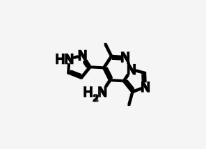 Cc1nn2cnc(C)c2c(N)c1-c1cc[nH]n1